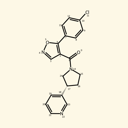 O=C(c1cnoc1-c1ccc(Cl)cc1)N1CC[C@H](c2cccnc2)C1